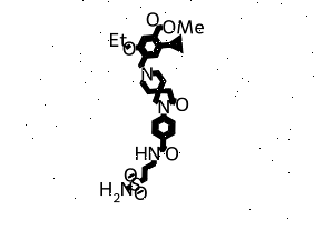 CCOc1cc(C(=O)OC)c(C2CC2)cc1CN1CCC2(CC1)CC(=O)N(c1ccc(C(=O)NCCCS(N)(=O)=O)cc1)C2